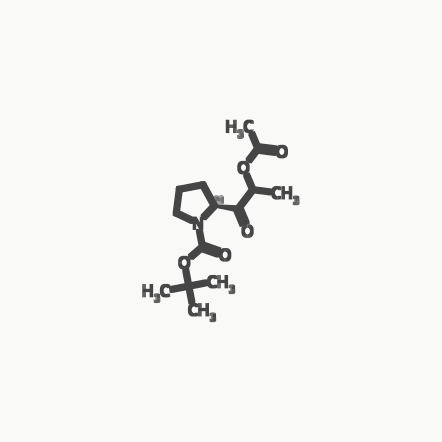 CC(=O)OC(C)C(=O)[C@@H]1CCCN1C(=O)OC(C)(C)C